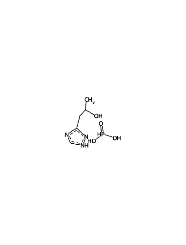 CC(O)Cc1nc[nH]n1.O=[PH](O)O